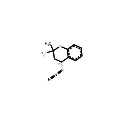 CC1(C)C[C@@H](N=[N+]=[N-])c2ccccc2O1